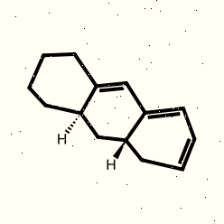 C1=CC[C@@H]2C[C@H]3CCCCC3=CC2=C1